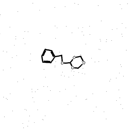 c1ccc(COC2OCOCO2)cc1